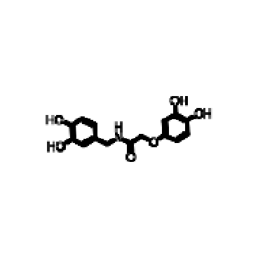 O=C(COc1ccc(O)c(O)c1)NCc1ccc(O)c(O)c1